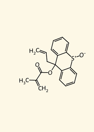 C=CCC1(OC(=O)C(=C)C)c2ccccc2[S+]([O-])c2ccccc21